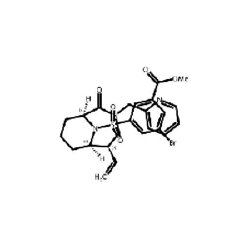 C=C[C@@H]1CN(Cc2ccccn2)C(=O)[C@@H]2CCC[C@H]1N2S(=O)(=O)c1cc(Br)cc(C(=O)OC)c1